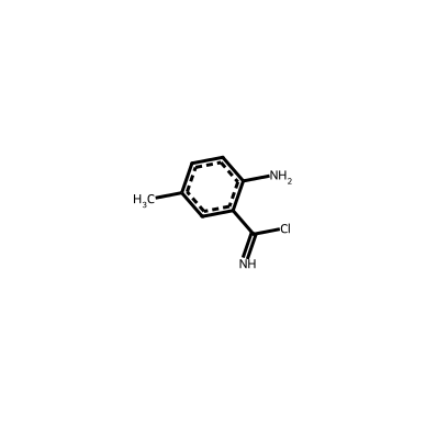 Cc1ccc(N)c(C(=N)Cl)c1